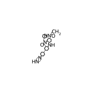 C=CC(=O)Nc1ccc2c(c1)N(Cc1ccccc1)C(=O)c1cc(-c3ccc(N4CCNCC4)cc3)ccc1N2